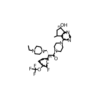 CCN1CCN(C[C@H](C(=O)N2CCN(c3ncnc4c3C(C)C[C@H]4O)CC2)c2ccc(OC(F)(F)F)c(F)c2)CC1